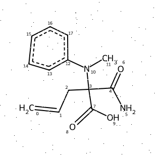 C=CCC(C(N)=O)(C(=O)O)N(C)c1ccccc1